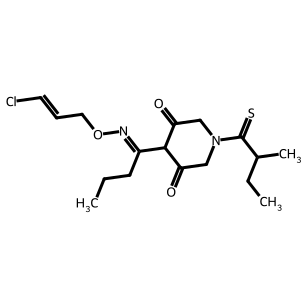 CCC/C(=N\OC/C=C/Cl)C1C(=O)CN(C(=S)C(C)CC)CC1=O